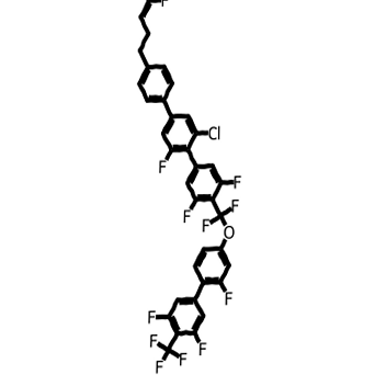 FC(F)=CCCc1ccc(-c2cc(F)c(-c3cc(F)c(C(F)(F)Oc4ccc(-c5cc(F)c(C(F)(F)F)c(F)c5)c(F)c4)c(F)c3)c(Cl)c2)cc1